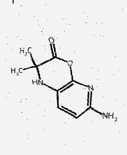 CC1(C)Nc2ccc(N)nc2OC1=O